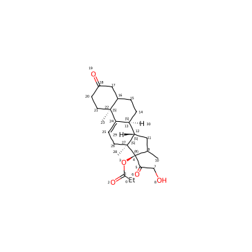 CCC(=O)O[C@]1(C(=O)CO)C(C)C[C@H]2[C@@H]3CCC4CC(=O)CC[C@]4(C)C3=CC[C@@]21C